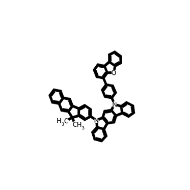 CC1(C)c2cc(-n3c4ccccc4c4cc5c6ccccc6n(-c6ccc(-c7cccc8c7oc7ccccc78)cc6)c5cc43)ccc2-c2cc3ccccc3cc21